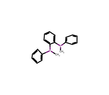 CP(c1ccccc1)c1ccccc1P(C)c1ccccc1